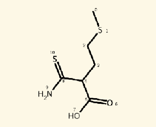 CSCCC(C(=O)O)C(N)=S